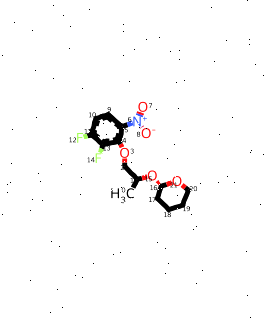 CC(COc1c([N+](=O)[O-])ccc(F)c1F)O[C@@H]1CCCCO1